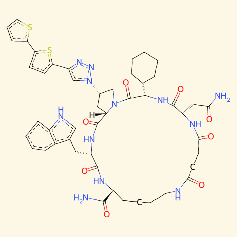 NC(=O)C[C@@H]1NC(=O)CCC(=O)NCCCC[C@@H](C(N)=O)NC(=O)[C@H](Cc2c[nH]c3ccccc23)NC(=O)[C@@H]2C[C@H](n3cc(-c4ccc(-c5cccs5)s4)nn3)CN2C(=O)[C@H](C2CCCCC2)NC1=O